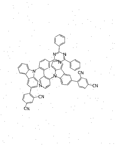 N#Cc1ccc(-c2ccc3c(c2)c2ccccc2n3-c2ccncc2-c2cc(-c3nc(-c4ccccc4)nc(-c4ccccc4)n3)ccc2-n2c3ccccc3c3cc(-c4ccc(C#N)cc4C#N)ccc32)c(C#N)c1